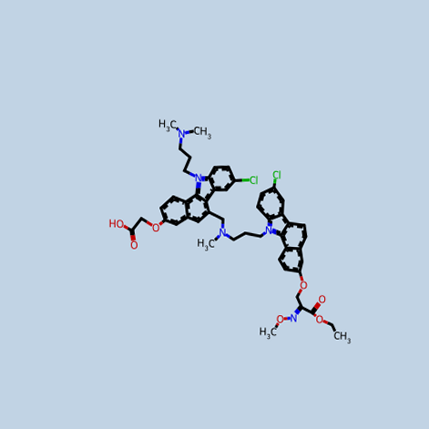 CCOC(=O)/C(COc1ccc2c(ccc3c4cc(Cl)ccc4n(CCCN(C)Cc4cc5cc(OCC(=O)O)ccc5c5c4c4cc(Cl)ccc4n5CCCN(C)C)c23)c1)=N/OC